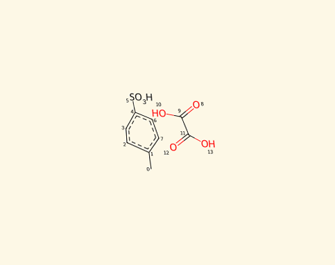 Cc1ccc(S(=O)(=O)O)cc1.O=C(O)C(=O)O